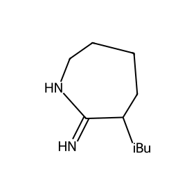 CCC(C)C1CCCCNC1=N